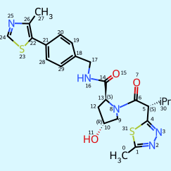 Cc1nnc([C@H](C(=O)N2C[C@H](O)C[C@H]2C(=O)NCc2ccc(-c3scnc3C)cc2)C(C)C)s1